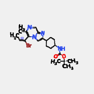 C/C=C(/Br)c1c(C)ncc2nc(C3CCC(NC(=O)OC(C)(C)C)CC3)cn12